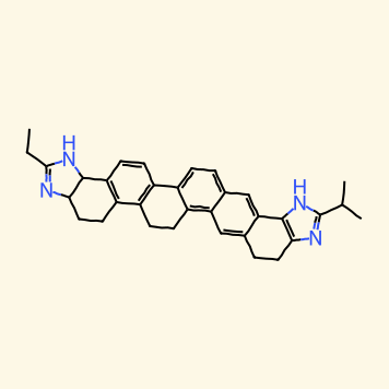 CCC1=NC2CCc3c(ccc4c3CCc3c-4ccc4cc5c(cc34)CCc3nc(C(C)C)[nH]c3-5)C2N1